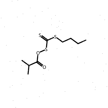 CCCCSC(=S)SOC(=O)C(C)C